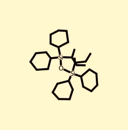 CCC(C)[Si](O[Si](C(C)CC)(C1CCCCC1)C1CCCCC1)(C1CCCCC1)C1CCCCC1